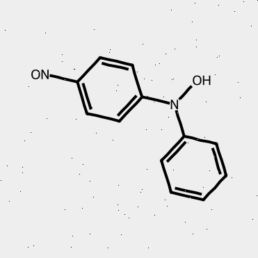 O=Nc1ccc(N(O)c2ccccc2)cc1